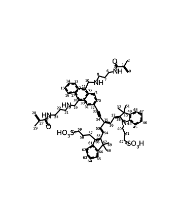 C=C(C)C(=O)NCCCNCc1c2ccccc2c(CNCCCNC(=O)C(=C)C)c2cc(C#CC(=C\C=C3/N(CCCS(=O)(=O)O)c4ccccc4C3(C)C)/C=C/C3=C(CCCS(=O)(=O)O)c4ccccc4C3(C)C)ccc12